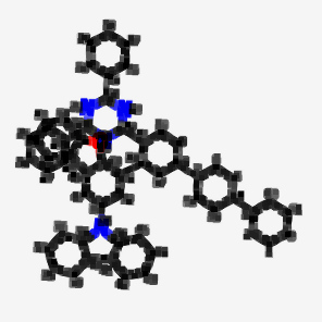 c1ccc(-c2ccc(-c3ccc(-c4nc(-c5ccccc5)nc(-c5ccccc5)n4)c(-c4cc(-n5c6ccccc6c6ccccc65)cc5c4oc4ccccc45)c3)cc2)cc1